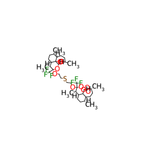 C[C@@H]1CC[C@H]2[C@@H](C)[C@](OCCSCCO[C@@]3(C(F)(F)F)O[C@@H]4O[C@]5(C)CC[C@H]6[C@H](C)CC[C@@H]([C@H]3C)[C@@]46OO5)(C(F)(F)F)O[C@@H]3O[C@]4(C)CC[C@@H]1[C@]32OO4